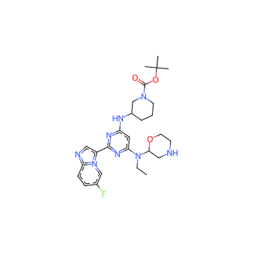 CCN(c1cc(NC2CCCN(C(=O)OC(C)(C)C)C2)nc(-c2cnc3ccc(F)cn23)n1)C1CNCCO1